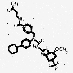 COc1cc(C(F)(F)F)cc2nc(NC(=O)N(Cc3ccc(C(=O)NCCC(=O)O)cc3)c3ccc(C4CCCCC4)cc3)sc12